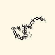 CN(C)C(Cc1c[nH]c2ccc(Cc3nc(Cc4ccc(C(N)=O)cc4)no3)cc12)OC(=O)C(=O)OC(Cc1c[nH]c2ccc(Cc3nc(Cc4ccc(C(N)=O)cc4)no3)cc12)N(C)C